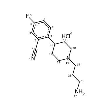 Cl.N#Cc1cc(F)ccc1C1CCN(CCCN)CC1